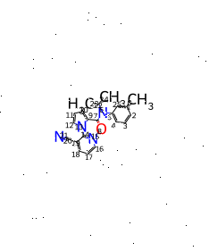 Cc1cccc(N(C(=O)c2cccn2-c2ncccc2C#N)C(C)C)c1